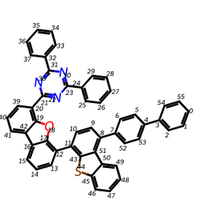 c1ccc(-c2ccc(-c3ccc(-c4cccc5c4oc4c(-c6nc(-c7ccccc7)nc(-c7ccccc7)n6)cccc45)c4sc5ccccc5c34)cc2)cc1